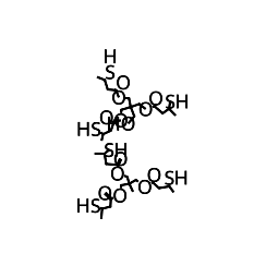 CC(S)CC(=O)OCC(C)(COC(=O)CC(C)S)COC(=O)CC(C)S.CC(S)CC(=O)OCC(CO)(COC(=O)CC(C)S)COC(=O)CC(C)S